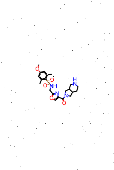 COc1cc(C)c(S(=O)(=O)NCc2nc(C(=O)N3CC4CCNCC4C3)co2)c(C)c1